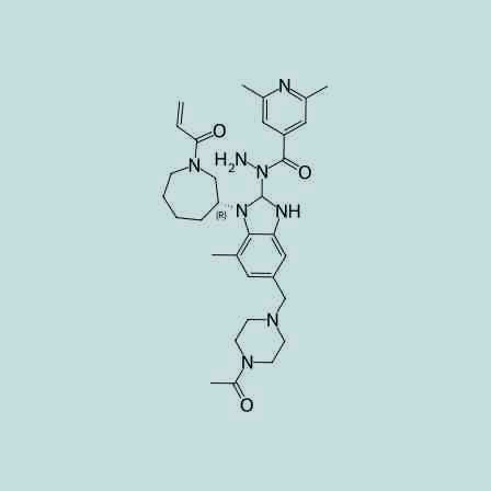 C=CC(=O)N1CCCC[C@@H](N2c3c(C)cc(CN4CCN(C(C)=O)CC4)cc3NC2N(N)C(=O)c2cc(C)nc(C)c2)C1